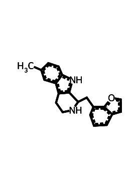 Cc1ccc2[nH]c3c(c2c1)CCNC3Cc1cccc2ccoc12